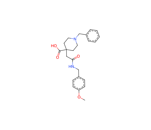 COc1ccc(CNC(=O)CC2(C(=O)O)CCN(Cc3ccccc3)CC2)cc1